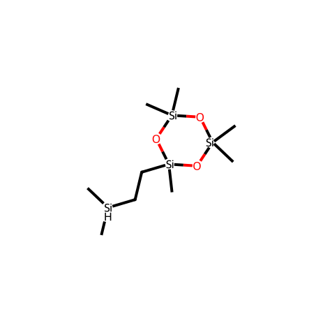 C[SiH](C)CC[Si]1(C)O[Si](C)(C)O[Si](C)(C)O1